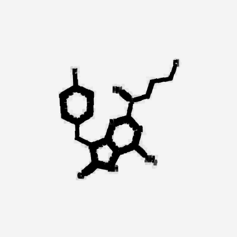 N=S(CCCCl)c1nc(N)c2[nH]c(=O)n(Cc3ccc(F)cc3)c2n1